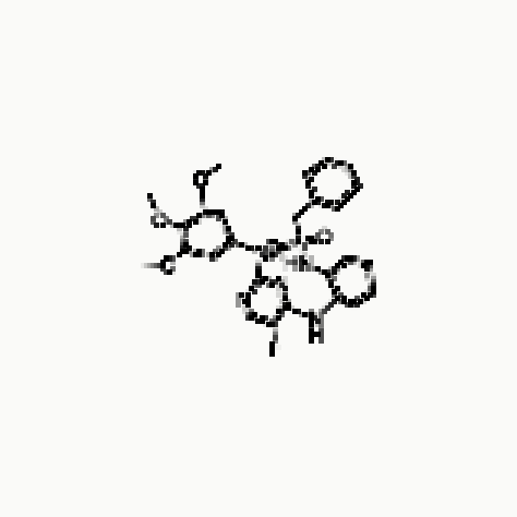 COc1cc(Nc2ncc(F)c(Nc3ccccc3NS(=O)(=O)Cc3ccccc3)n2)cc(OC)c1OC